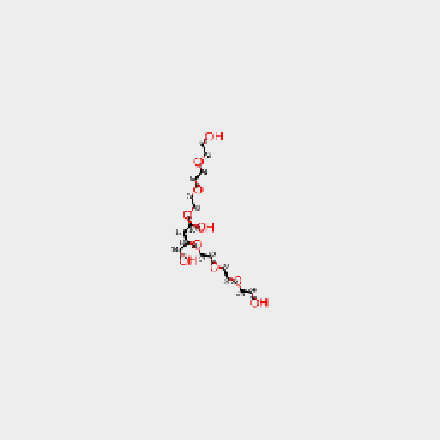 OCCOCCOCCOC(O)CC(CO)OCCOCCOCCO